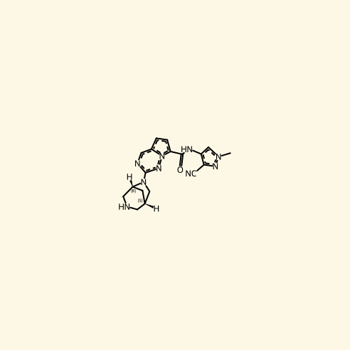 Cn1cc(NC(=O)c2ccc3cnc(N4C[C@@H]5CNC[C@H]4C5)nn23)c(C#N)n1